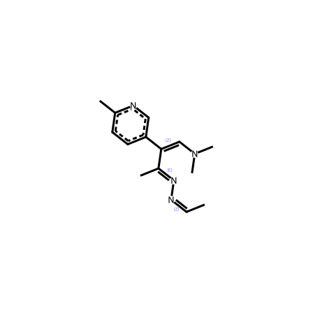 C\C=N/N=C(C)/C(=C\N(C)C)c1ccc(C)nc1